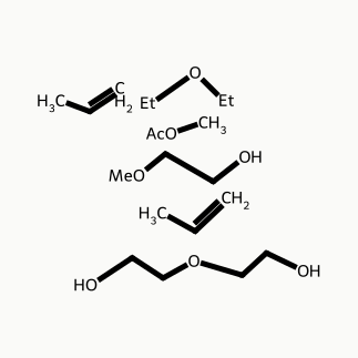 C=CC.C=CC.CCOCC.COC(C)=O.COCCO.OCCOCCO